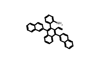 C=Cc1c(-c2ccccc2N)c(-c2ccc3ccccc3c2)c2ccccc2c1-c1ccc2ccccc2c1